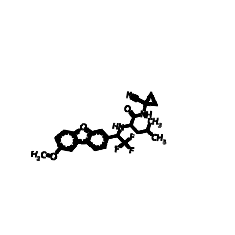 COc1ccc2oc3cc(C(NC(CC(C)C)C(=O)NC4(C#N)CC4)C(F)(F)F)ccc3c2c1